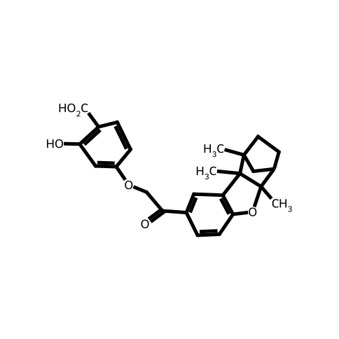 CC12CCC(C1)C1(C)Oc3ccc(C(=O)COc4ccc(C(=O)O)c(O)c4)cc3C21C